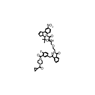 COC(C)(C)C1C2CC=CC2c2cc([N+](=O)[O-])ccc2N1C(=O)CCCOCCn1nc(Cc2ccc(F)c(C(=O)N3CCN(C(=O)C4CC4)CC3)c2)c2ccccc2c1=O